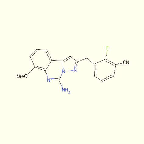 COc1cccc2c1nc(N)n1nc(Cc3cccc(C#N)c3F)cc21